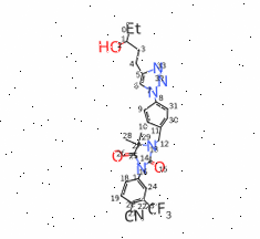 CCC(O)CCc1cn(-c2ccc(CN3C(=O)N(c4ccc(C#N)c(C(F)(F)F)c4)C(=O)C3(C)C)cc2)nn1